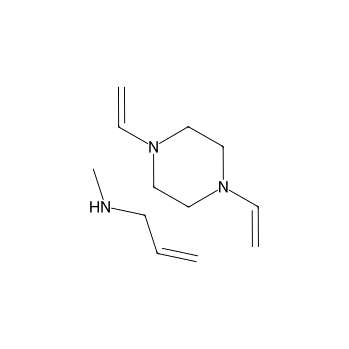 C=CCNC.C=CN1CCN(C=C)CC1